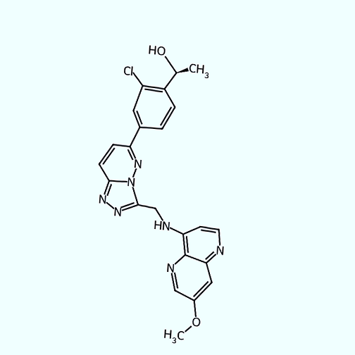 COc1cnc2c(NCc3nnc4ccc(-c5ccc([C@H](C)O)c(Cl)c5)nn34)ccnc2c1